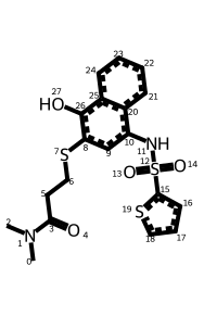 CN(C)C(=O)CCSc1cc(NS(=O)(=O)c2cccs2)c2ccccc2c1O